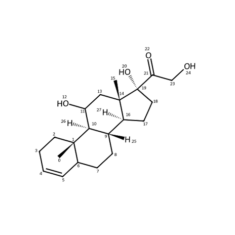 C[C@]12CCC=CC1CC[C@@H]1[C@@H]2C(O)C[C@@]2(C)[C@H]1CC[C@]2(O)C(=O)CO